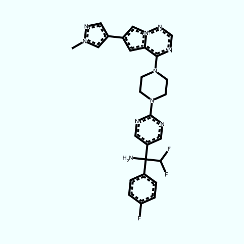 Cn1cc(-c2cc3c(N4CCN(c5ncc(C(N)(c6ccc(F)cc6)C(F)F)cn5)CC4)ncnn3c2)cn1